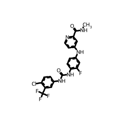 CNC(=O)c1cc(Nc2ccc(NC(=O)Nc3ccc(Cl)c(C(F)(F)F)c3)c(F)c2)ccn1